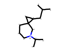 CC(C)CC1CC12CCCN(C(C)C)C2